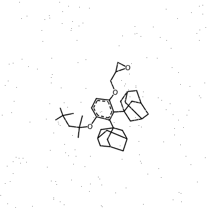 CC(C)(C)CC(C)(C)Oc1ccc(OCC2CO2)c(C23CC4CC(CC(C4)C2)C3)c1C12CC3CC(CC(C3)C1)C2